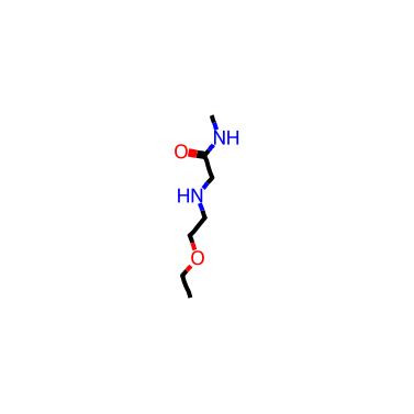 CCOCCNCC(=O)NC